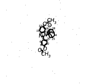 CC(=O)Oc1ccc(-c2nc3ccc(OC(C)=O)cc3n2C23CC4CC(CC(C4)C2)C3)cc1